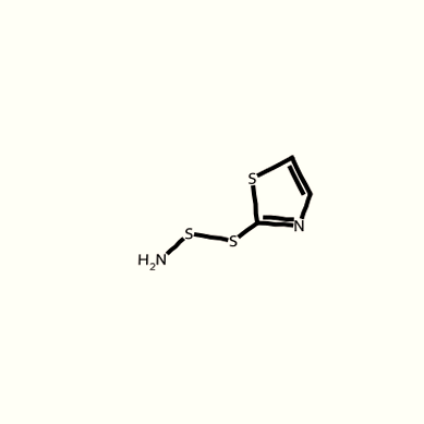 NSSc1nccs1